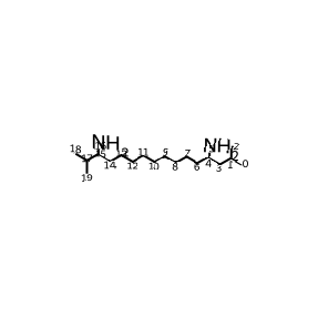 CC(C)CC(N)CCCCCCCCCC(N)C(C)C